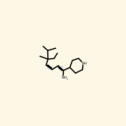 CCC(C)(/C=C\C=C(/N)C1CCNCC1)C(C)C